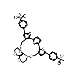 CS(=O)(=O)c1ccc(-c2cc3c(s2)-c2ccc(s2)-c2sc(-c4ccc(S(C)(=O)=O)cc4)cc2CCN2CCOC4=C2N(CCO4)CC3)cc1